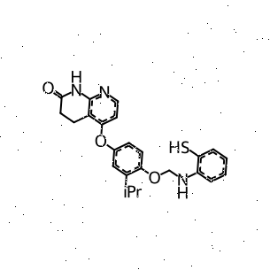 CC(C)c1cc(Oc2ccnc3c2CCC(=O)N3)ccc1OCNc1ccccc1S